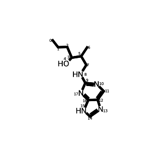 CCCC(O)C(C)CNc1ncc2nc[nH]c2n1